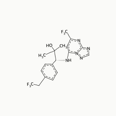 CC(C)(O)[C@H](Nc1cc(C(F)(F)F)nc2ncnn12)c1ccc(CC(F)(F)F)cc1